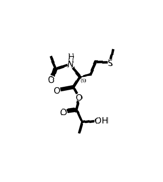 CSCC[C@H](NC(C)=O)C(=O)OC(=O)C(C)O